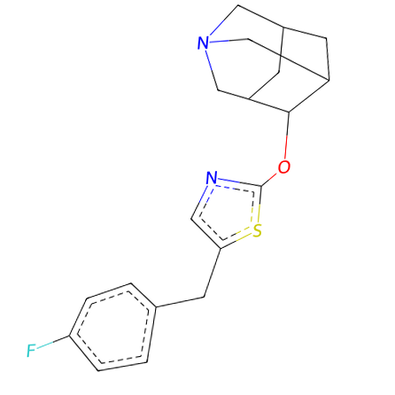 Fc1ccc(Cc2cnc(OC3C4CC5CC3CN(C5)C4)s2)cc1